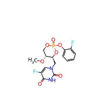 CO[C@@H]1COP(=O)(Oc2ccccc2F)O[C@H]1Cn1cc(F)c(=O)[nH]c1=O